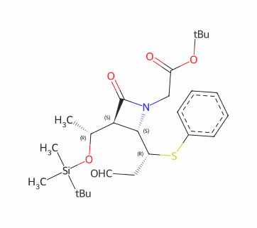 C[C@@H](O[Si](C)(C)C(C)(C)C)[C@H]1C(=O)N(CC(=O)OC(C)(C)C)[C@@H]1[C@@H](CC=O)Sc1ccccc1